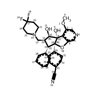 COc1cncc2c1[C@]1(O)[C@H](O)[C@H](CN3CCC(F)(F)CC3)[C@@H](c3ccccc3)[C@]1(c1ccc(C#N)cc1)O2